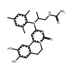 Cc1cc(C)c(N(c2cc3n(c(=O)n2)CCc2cc(O)c(O)cc2-3)C(C)CNC(N)=O)c(C)c1